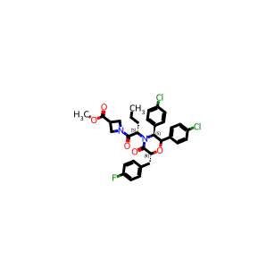 CCC[C@@H](C(=O)N1CC(C(=O)OC)C1)N1C(=O)[C@@H](Cc2ccc(F)cc2)OC(c2ccc(Cl)cc2)[C@@H]1c1ccc(Cl)cc1